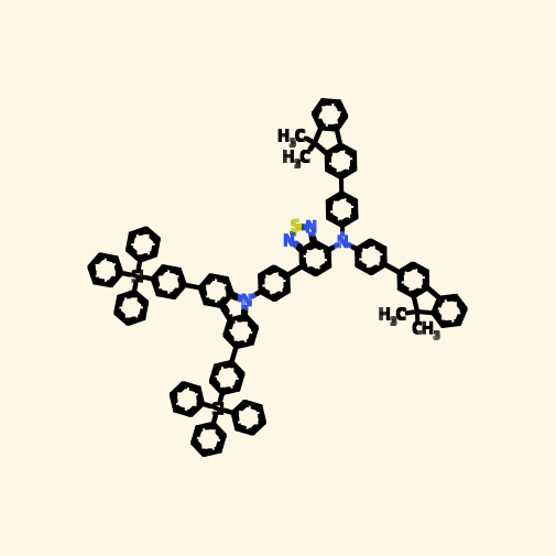 CC1(C)c2ccccc2-c2ccc(-c3ccc(N(c4ccc(-c5ccc6c(c5)C(C)(C)c5ccccc5-6)cc4)c4ccc(-c5ccc(-n6c7ccc(-c8ccc([Si](c9ccccc9)(c9ccccc9)c9ccccc9)cc8)cc7c7cc(-c8ccc([Si](c9ccccc9)(c9ccccc9)c9ccccc9)cc8)ccc76)cc5)c5nsnc45)cc3)cc21